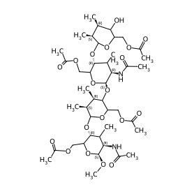 CO[C@H]1OC(COC(C)=O)[C@H](OC2OC(COC(C)=O)C(O[C@H]3OC(COC(C)=O)[C@H](OC4OC(COC(C)=O)C(O)[C@H](C)[C@@H]4C)C(C)[C@H]3NC(C)=O)[C@H](C)[C@@H]2C)C(C)[C@H]1NC(C)=O